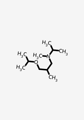 CC(COC(C)C)CN(C)C(C)C